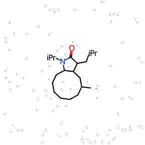 CC(C)CC1C(=O)N(C(C)C)C2CCCCCCC(C)CC12